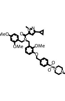 COc1ccc(CN(Cc2cccc(OCc3ccc(S(=O)(=O)N4CCN(C)CC4)cc3)c2OC)C(=O)c2cc(C3CC3)nn2C)c(OC)c1